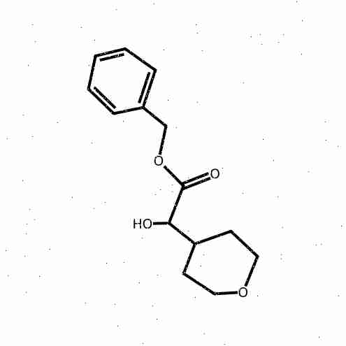 O=C(OCc1ccccc1)C(O)C1CCOCC1